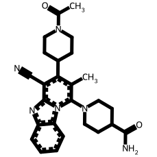 CC(=O)N1CCC(c2c(C)c(N3CCC(C(N)=O)CC3)n3c(nc4ccccc43)c2C#N)CC1